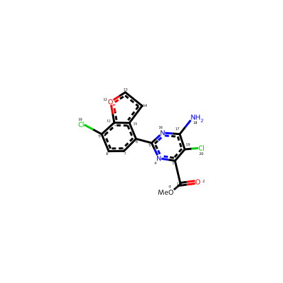 COC(=O)c1nc(-c2ccc(Cl)c3occc23)nc(N)c1Cl